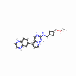 COC[C@H]1C[C@@H](CNc2ncc3c(-c4ccc5nccnc5c4)ccn3n2)C1